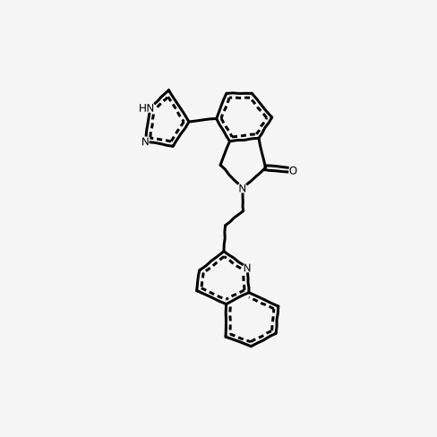 O=C1c2cccc(-c3cn[nH]c3)c2CN1CCc1ccc2ccccc2n1